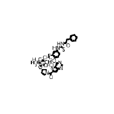 CC(C)(C)[Si](C)(C)OC1CCN(C(=O)c2cc3ncnc(Oc4ccc(NC(=S)NC(=O)Cc5ccccc5)cc4F)c3s2)C1